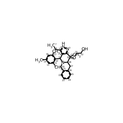 CCc1n[nH]c(CC)c1C(c1c(C)cc(C)cc1C)N1Cc2ccccc2CC1COCCO